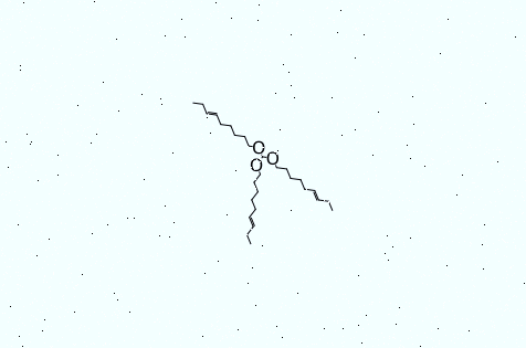 CCC=CCCCCCOC(OCCCCCC=CCC)OCCCCCC=CCC